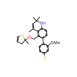 COc1cc(F)ccc1-c1ccc2c(c1COC1(C)CC=CS1)C(C)=CC(C)(C)N2